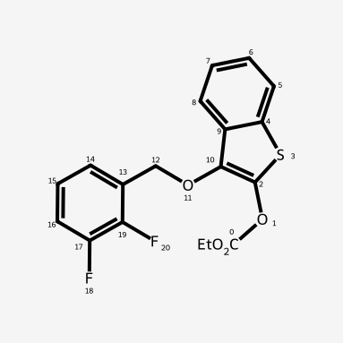 CCOC(=O)Oc1sc2ccccc2c1OCc1cccc(F)c1F